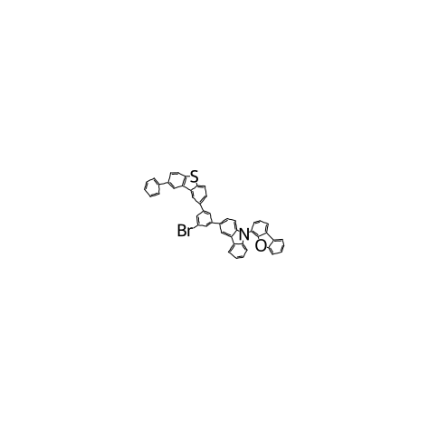 Brc1cc(-c2ccc3sc4ccc(-c5ccccc5)cc4c3c2)cc(-c2ccc3c(c2)c2ccccc2n3-c2cccc3c2oc2ccccc23)c1